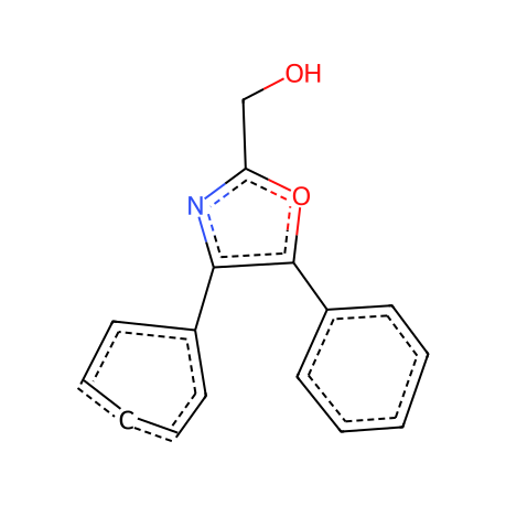 OCc1nc(-c2ccccc2)c(-c2ccccc2)o1